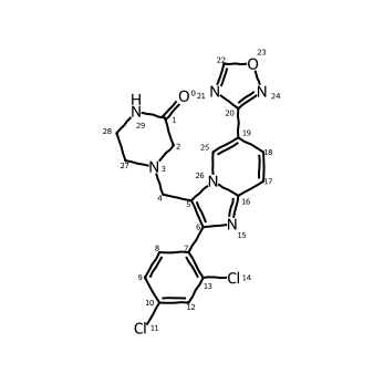 O=C1CN(Cc2c(-c3ccc(Cl)cc3Cl)nc3ccc(-c4ncon4)cn23)CCN1